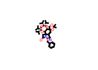 CC(C)[Si]1(C(C)C)OC2C(O[Si](C(C)C)(C(C)C)O1)C1(CC(=O)N1OCc1ccccc1)C(C#N)=CC21COC(C)(C)O1